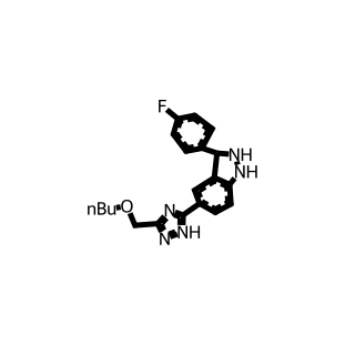 CCCCOCc1n[nH]c(-c2ccc3c(c2)C(c2ccc(F)cc2)NN3)n1